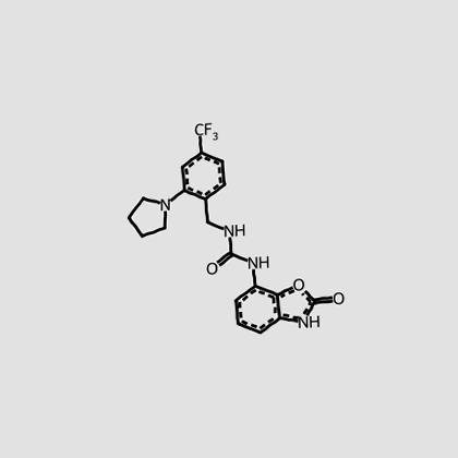 O=C(NCc1ccc(C(F)(F)F)cc1N1CCCC1)Nc1cccc2[nH]c(=O)oc12